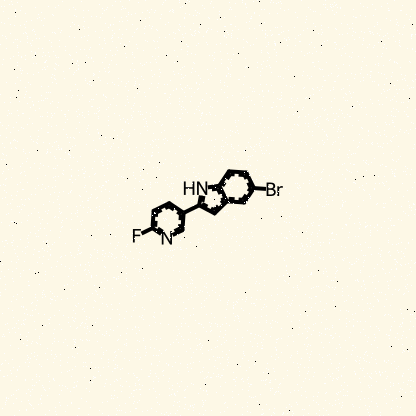 Fc1ccc(-c2cc3cc(Br)ccc3[nH]2)cn1